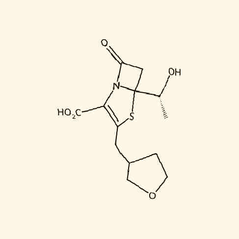 C[C@@H](O)C12CC(=O)N1C(C(=O)O)=C(CC1CCOC1)S2